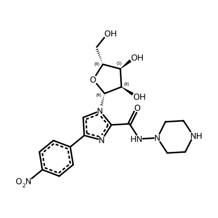 O=C(NN1CCNCC1)c1nc(-c2ccc([N+](=O)[O-])cc2)cn1[C@@H]1O[C@H](CO)[C@@H](O)[C@H]1O